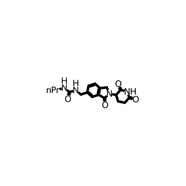 CCCNC(=O)NCc1ccc2c(c1)C(=O)N(C1CCC(=O)NC1=O)C2